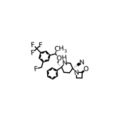 C[C@@H](OC[C@@]1(c2ccccc2)CC[C@](C#N)(N2CCC2=O)CN1)c1cc(CF)cc(C(F)(F)F)c1